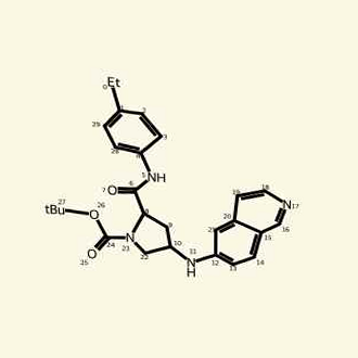 CCc1ccc(NC(=O)C2CC(Nc3ccc4cnccc4c3)CN2C(=O)OC(C)(C)C)cc1